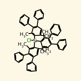 Cc1cc(-c2ccccc2)c(-c2ccccc2)c(C)c1[Si](Cl)(c1c(C)cc(-c2ccccc2)c(-c2ccccc2)c1C)c1c(C)cc(-c2ccccc2)c(-c2ccccc2)c1C